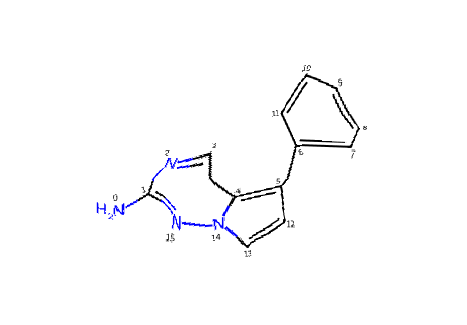 Nc1ncc2c(-c3ccccc3)ccn2n1